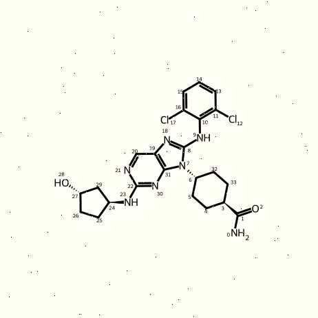 NC(=O)[C@H]1CC[C@H](n2c(Nc3c(Cl)cccc3Cl)nc3cnc(N[C@H]4CC[C@H](O)C4)nc32)CC1